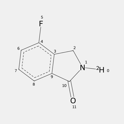 [2H]N1Cc2c(F)cccc2C1=O